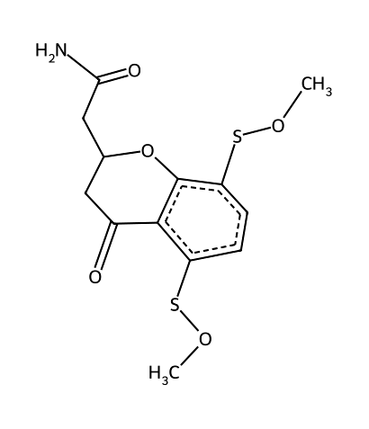 COSc1ccc(SOC)c2c1OC(CC(N)=O)CC2=O